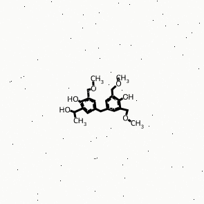 COCc1cc(Cc2cc(COC)c(O)c(C(C)O)c2)cc(COC)c1O